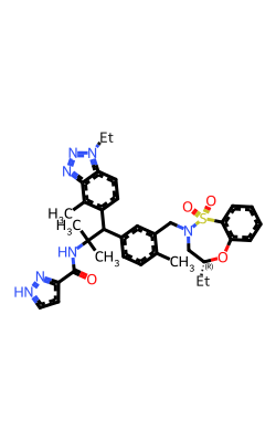 CC[C@@H]1CN(Cc2cc(C(c3ccc4c(nnn4CC)c3C)C(C)(C)NC(=O)c3cc[nH]n3)ccc2C)S(=O)(=O)c2ccccc2O1